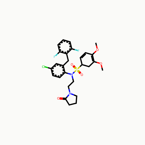 COC1=C(OC)CC(S(=O)(=O)N(CCN2CCCC2=O)c2ccc(Cl)cc2Cc2c(F)cccc2F)C=C1